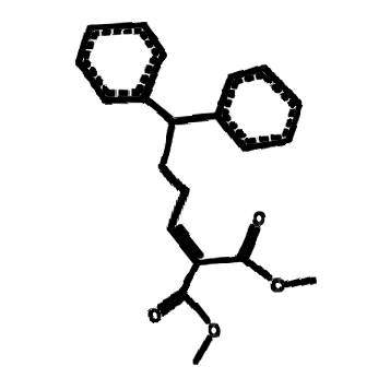 COC(=O)C(=CCCC(c1ccccc1)c1ccccc1)C(=O)OC